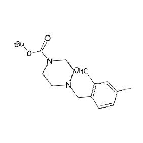 Cc1ccc(CN2CCN(C(=O)OC(C)(C)C)CC2)c(C=O)c1